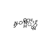 C[C@@H](NC(=O)c1ccc(-c2cscn2)cc1)C1CCC(c2ccnc3ccc(F)cc23)CC1